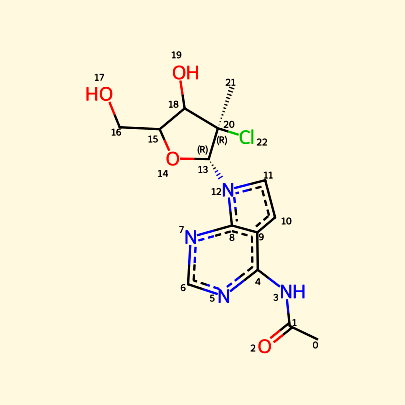 CC(=O)Nc1ncnc2c1ccn2[C@@H]1OC(CO)C(O)[C@@]1(C)Cl